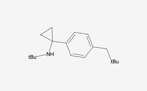 CC(C)(C)Cc1ccc(C2(NC(C)(C)C)CC2)cc1